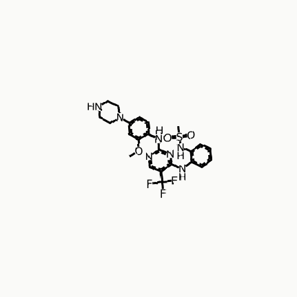 COc1cc(N2CCNCC2)ccc1Nc1ncc(C(F)(F)F)c(Nc2ccccc2NS(C)(=O)=O)n1